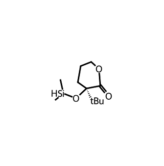 C[SiH](C)O[C@@]1(C(C)(C)C)CCCOC1=O